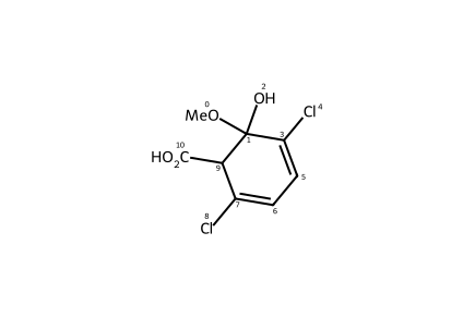 COC1(O)C(Cl)=CC=C(Cl)C1C(=O)O